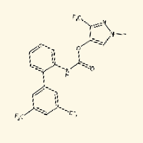 Cn1cc(OC(=O)Nc2ccccc2-c2cc(C(F)(F)F)cc(C(F)(F)F)c2)c(C(F)(F)F)n1